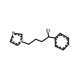 [CH2]CC(CCCn1ccnc1)c1ccccc1